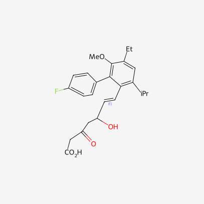 CCc1cc(C(C)C)c(/C=C/C(O)CC(=O)CC(=O)O)c(-c2ccc(F)cc2)c1OC